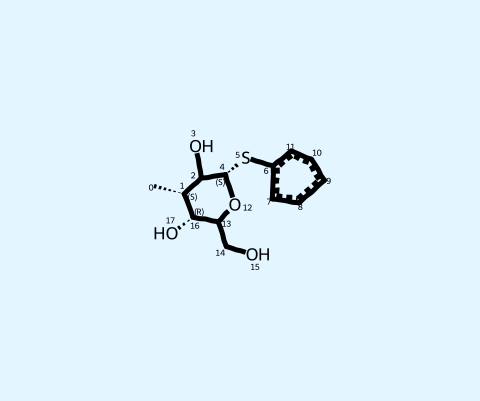 C[C@@H]1C(O)[C@H](Sc2ccccc2)OC(CO)[C@@H]1O